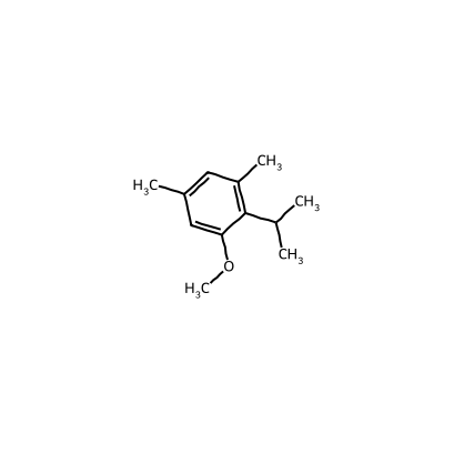 COc1cc(C)cc(C)c1C(C)C